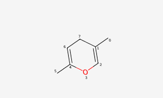 CC1=COC(C)=CC1